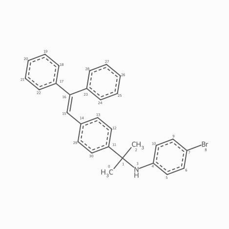 CC(C)(Nc1ccc(Br)cc1)c1ccc(C=C(c2ccccc2)c2ccccc2)cc1